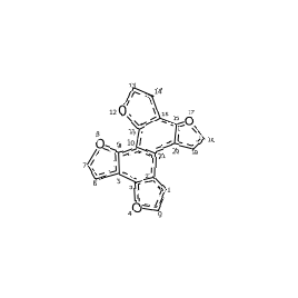 c1cc2c(o1)c1ccoc1c1c3occc3c3occc3c21